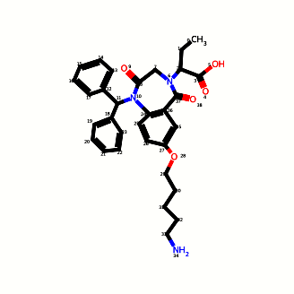 CCC(C(=O)O)N1CC(=O)N(C(c2ccccc2)c2ccccc2)c2ccc(OCCCCCN)cc2C1=O